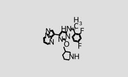 C[C@H](Nc1cc(-c2cnn3cccnc23)nc(OCC2CCCNC2)n1)c1ccc(F)cc1F